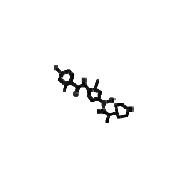 Cc1cc([S+]([O-])N[C@H](C)C2CCNCC2)ccc1NC(=O)c1ccc(F)cc1C